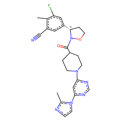 Cc1c(F)cc([C@@H]2CCON2C(=O)C2CCN(c3cc(-n4ccnc4C)ncn3)CC2)cc1C#N